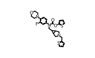 O=C(Oc1cccs1)N(CC1C2CN(Cc3cccs3)CC21)c1ccc(N2CCOCC2)c(F)c1